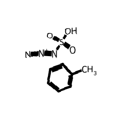 Cc1ccccc1.[N-]=[N+]=NS(=O)(=O)O